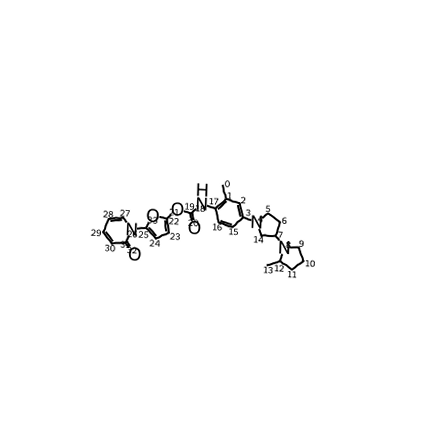 Cc1cc(N2CCC(N3CCCC3C)C2)ccc1NC(=O)Oc1ccc(-n2ccccc2=O)o1